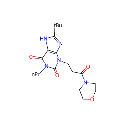 CCCn1c(=O)c2[nH]c(C(C)(C)C)nc2n(CCC(=O)N2CCOCC2)c1=O